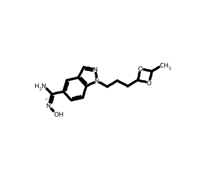 CC1OC(CCCn2ncc3cc(/C(N)=N\O)ccc32)O1